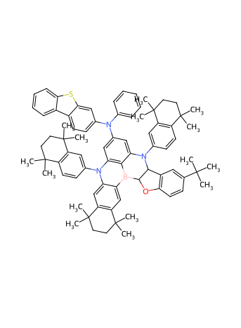 CC(C)(C)c1ccc2c(c1)C1C(O2)B2c3cc4c(cc3N(c3ccc5c(c3)C(C)(C)CCC5(C)C)c3cc(N(c5ccccc5)c5ccc6c(c5)sc5ccccc56)cc(c32)N1c1ccc2c(c1)C(C)(C)CCC2(C)C)C(C)(C)CCC4(C)C